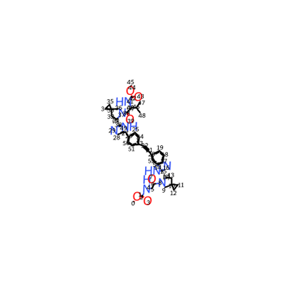 COC(=O)NCC(=O)N1CC2(CC2)C[C@H]1c1nc2ccc(C#Cc3ccc(-c4cnc([C@@H]5CC6(CC6)CN5C(=O)[C@@H](NC(=O)OC)C(C)C)[nH]4)cc3)cc2[nH]1